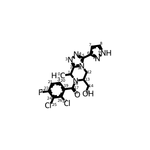 CC1c2nnc(-c3cc[nH]n3)n2CC(CO)N1C(=O)c1ccc(F)c(Cl)c1Cl